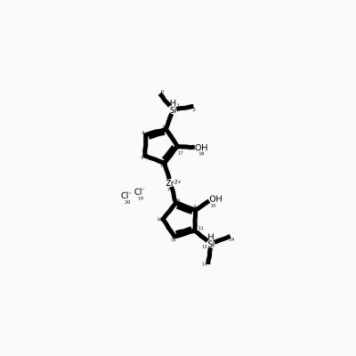 C[SiH](C)C1=CC[C]([Zr+2][C]2=C(O)C([SiH](C)C)=CC2)=C1O.[Cl-].[Cl-]